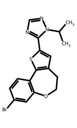 CC(C)n1ncnc1-c1cc2c(s1)-c1ccc(Br)cc1OCC2